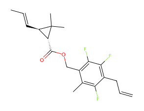 C=CCc1c(F)c(C)c(COC(=O)[C@@H]2[C@@H](C=CC)C2(C)C)c(F)c1F